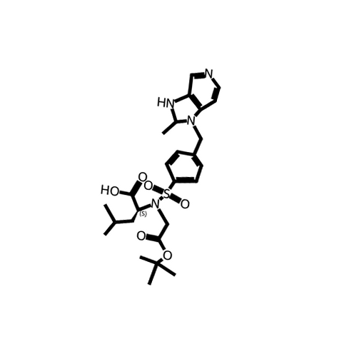 CC(C)C[C@@H](C(=O)O)N(CC(=O)OC(C)(C)C)S(=O)(=O)c1ccc(CN2c3ccncc3NC2C)cc1